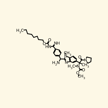 CCCCCCCCOC(=O)NC(=N)c1ccc(C(N)c2nc3cc(C(C)(C(=O)N4CCCC4)N(C)C(=O)OC)ccc3n2C)cc1